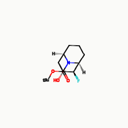 CC(C)(C)OC(=O)N1[C@@H]2CCC[C@H]1[C@@H](F)[C@H](O)C2